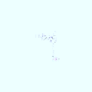 Nc1ncc(-c2nc(C3CCOCC3)c3ncn(CCCCCCC(=O)NO)c3n2)cn1